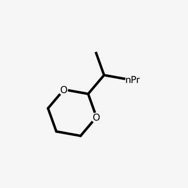 CCCC(C)C1OCCCO1